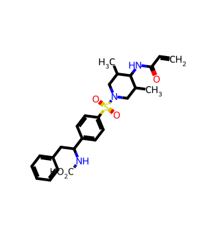 C=CC(=O)NC1C(C)CN(S(=O)(=O)c2ccc(C(Cc3ccccc3)NC(=O)O)cc2)CC1C